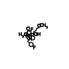 CNCC(CC1CCC(F)CC1)N1CCCC([C@@](O)(CCCCOC)c2cccc(Cl)c2F)C1